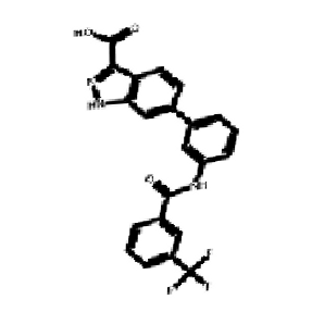 O=C(Nc1cccc(-c2ccc3c(C(=O)O)n[nH]c3c2)c1)c1cccc(C(F)(F)F)c1